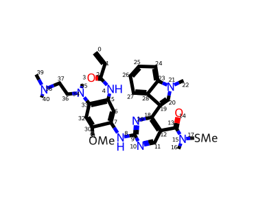 C=CC(=O)Nc1cc(Nc2ncc(C(=O)N(C)SC)c(-c3cn(C)c4ccccc34)n2)c(OC)cc1N(C)CCN(C)C